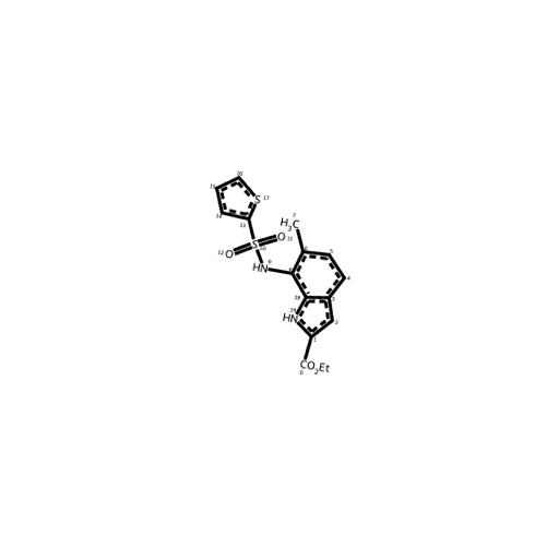 CCOC(=O)c1cc2ccc(C)c(NS(=O)(=O)c3cccs3)c2[nH]1